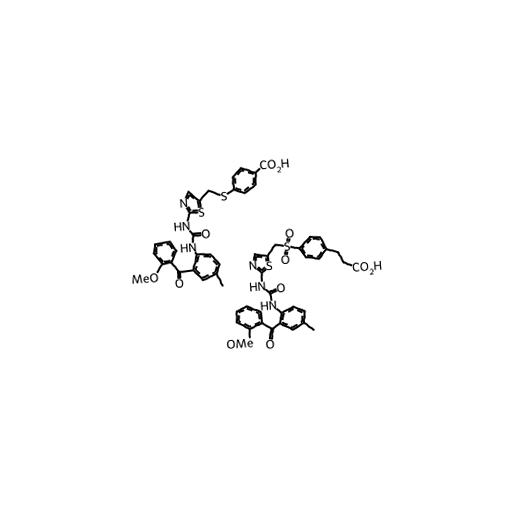 COc1ccccc1C(=O)c1cc(C)ccc1NC(=O)Nc1ncc(CS(=O)(=O)c2ccc(CCC(=O)O)cc2)s1.COc1ccccc1C(=O)c1cc(C)ccc1NC(=O)Nc1ncc(CSc2ccc(C(=O)O)cc2)s1